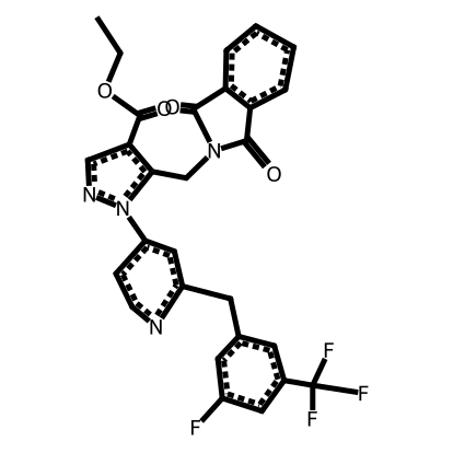 CCOC(=O)c1cnn(-c2ccnc(Cc3cc(F)cc(C(F)(F)F)c3)c2)c1CN1C(=O)c2ccccc2C1=O